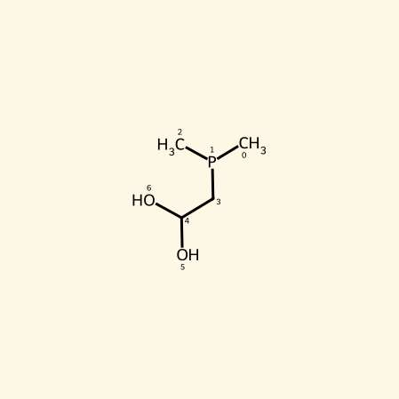 CP(C)CC(O)O